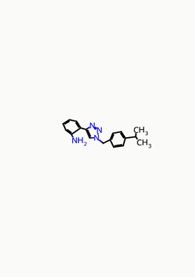 CC(C)c1ccc(Cn2cc(-c3ccccc3N)nn2)cc1